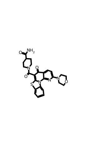 NC(=O)C1CCN(C(=O)c2c(=O)c3ccc(N4CCOCC4)nc3n3c2sc2ccccc23)CC1